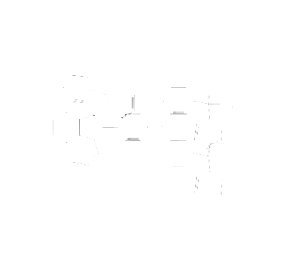 C=C/C=C\C1=C(c2ccc(N(c3ccc4c(c3)C(C)(C)c3ccccc3-4)c3cccc4c3-c3ccccc3C4(C)C)cc2)C2(c3ccccc31)c1ccccc1-c1ccccc12